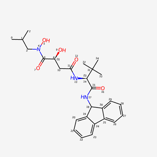 CC(C)CN(O)C(=O)[C@@H](O)CC(=O)N[C@H](C(=O)NC1c2ccccc2-c2ccccc21)C(C)(C)C